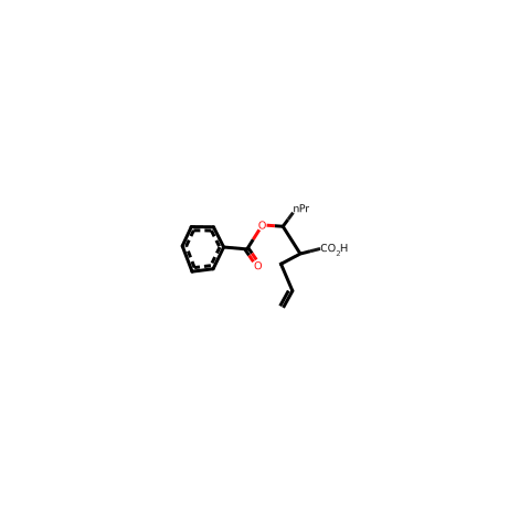 C=CCC(C(=O)O)C(CCC)OC(=O)c1ccccc1